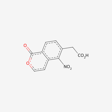 O=C(O)Cc1ccc2c(=O)occc2c1[N+](=O)[O-]